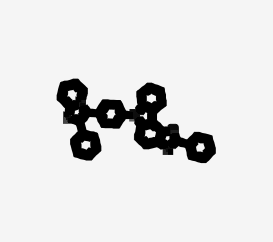 c1ccc(-c2nc3ccc4c(c5ccccc5n4-c4ccc(-c5c(-c6ccccc6)nc6ccccn56)cc4)c3o2)cc1